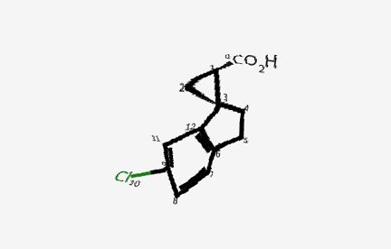 O=C(O)[C@@H]1C[C@]12CCc1ccc(Cl)cc12